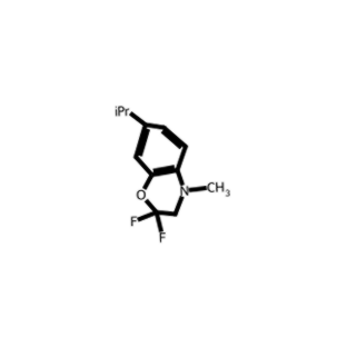 CC(C)c1ccc2c(c1)OC(F)(F)CN2C